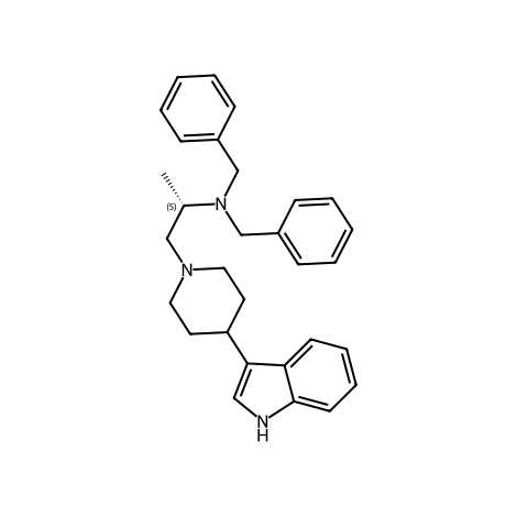 C[C@@H](CN1CCC(c2c[nH]c3ccccc23)CC1)N(Cc1ccccc1)Cc1ccccc1